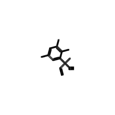 C=CC(C)(O)c1cc(C)cc(C)c1C